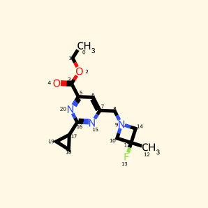 CCOC(=O)c1cc(CN2CC(C)(F)C2)nc(C2CC2)n1